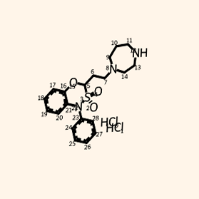 Cl.Cl.O=S1(=O)C(CCN2CCCNCC2)Oc2ccccc2N1c1ccccc1